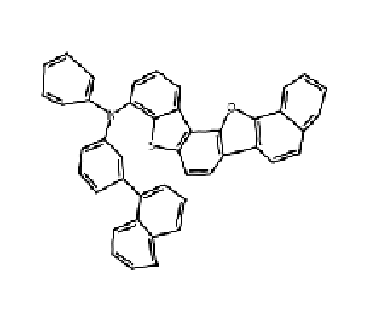 c1ccc(N(c2cccc(-c3cccc4ccccc34)c2)c2cccc3c2sc2ccc4c5ccc6ccccc6c5oc4c23)cc1